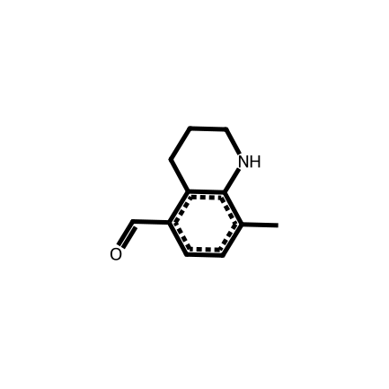 Cc1ccc(C=O)c2c1NCCC2